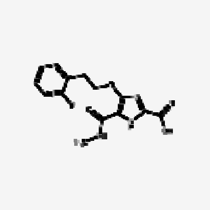 CNC(=O)c1[nH]c(C(=O)O)cc1OCCc1ccccc1F